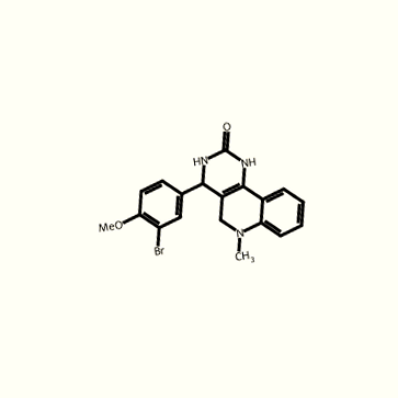 COc1ccc(C2NC(=O)NC3=C2CN(C)c2ccccc23)cc1Br